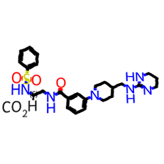 O=C(NC[C@H](NS(=O)(=O)c1ccccc1)C(=O)O)c1cccc(N2CCC(CNC3=NCCCN3)CC2)c1